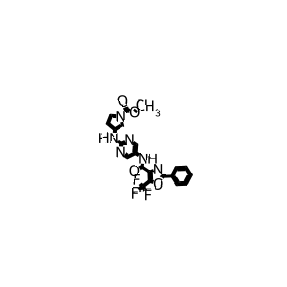 COC(=O)N1CCC(Nc2ncc(NC(=O)c3nc(-c4ccccc4)oc3C(F)(F)F)cn2)C1